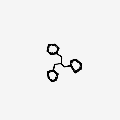 c1ccc(CC(Cc2ccccc2)Cc2ccccc2)cc1